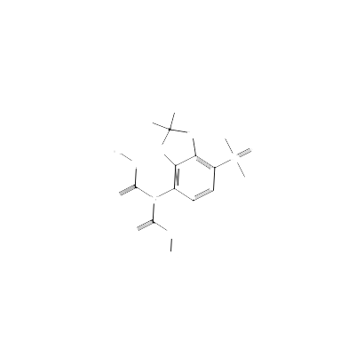 CC(C)(C)OC(=O)N(C(=O)OC(C)(C)C)c1ccc(P(C)(C)=O)c2c1OC(F)(F)O2